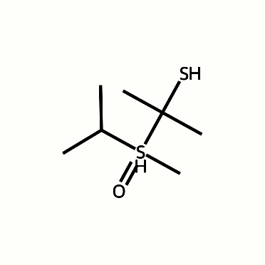 CC(C)[SH](C)(=O)C(C)(C)S